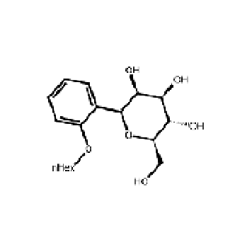 CCCCCCOc1ccccc1[C]1O[C@H](CO)[C@@H](O)[C@H](O)[C@@H]1O